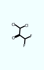 O=C(C(F)F)C(Cl)Cl